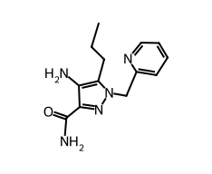 CCCc1c(N)c(C(N)=O)nn1Cc1ccccn1